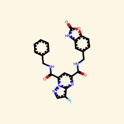 O=C(NCc1ccc2oc(=O)[nH]c2c1)c1cc(C(=O)NCc2ccccc2)n2ncc(F)c2n1